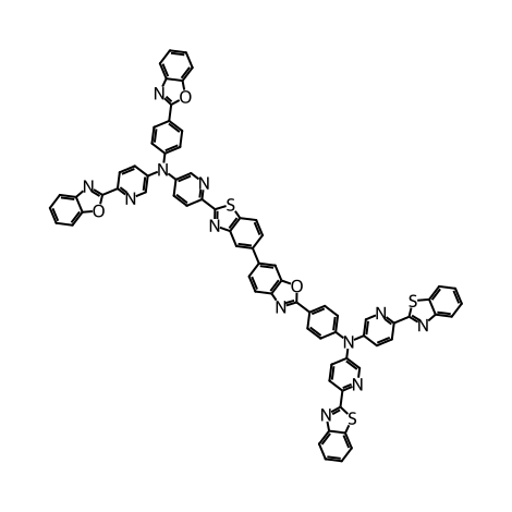 c1ccc2oc(-c3ccc(N(c4ccc(-c5nc6ccccc6o5)nc4)c4ccc(-c5nc6cc(-c7ccc8nc(-c9ccc(N(c%10ccc(-c%11nc%12ccccc%12s%11)nc%10)c%10ccc(-c%11nc%12ccccc%12s%11)nc%10)cc9)oc8c7)ccc6s5)nc4)cc3)nc2c1